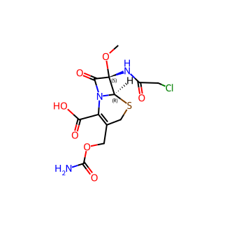 CO[C@@]1(NC(=O)CCl)C(=O)N2C(C(=O)O)=C(COC(N)=O)CS[C@@H]21